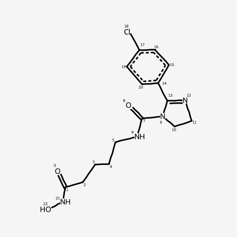 O=C(CCCCNC(=O)N1CCN=C1c1ccc(Cl)cc1)NO